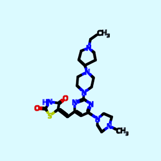 CCN1CCC(N2CCN(c3nc(C=C4SC(=O)NC4=O)cc(N4CCN(C)CC4)n3)CC2)CC1